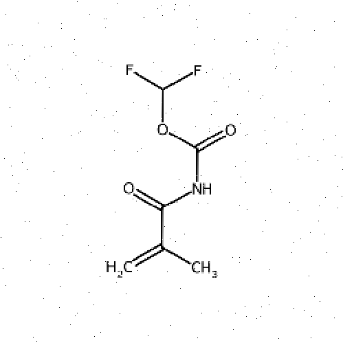 C=C(C)C(=O)NC(=O)OC(F)F